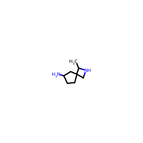 CC1NCC12CCC(N)C2